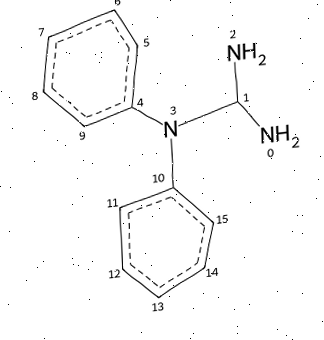 NC(N)N(c1ccccc1)c1ccccc1